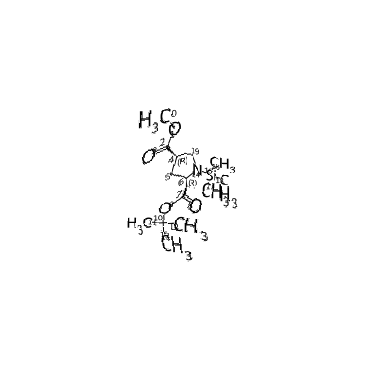 COC(=O)[C@@H]1C[C@H](C(=O)OC(C)(C)C)N([Si](C)(C)C)C1